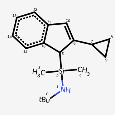 CC(C)(C)N[Si](C)(C)C1C(C2CC2)=Cc2ccccc21